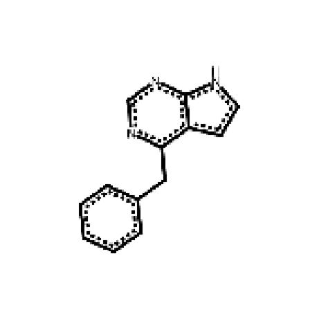 c1ccc(Cc2ncnc3[nH]ccc23)cc1